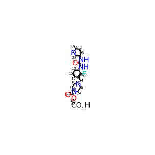 Cc1ccc(NC(=O)Nc2cccc(CN3CCN(C(=O)OCC(=O)O)CC3)c2F)cn1